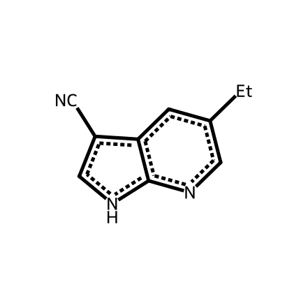 CCc1cnc2[nH]cc(C#N)c2c1